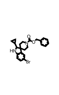 O=C(OCc1ccccc1)N1CCC2(CC1)c1cc(Br)ccc1NC2C1CC1